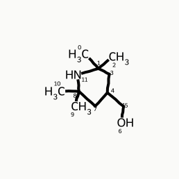 CC1(C)CC([CH]O)CC(C)(C)N1